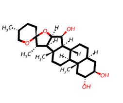 C[C@@H]1CC[C@@]2(OC1)O[C@H]1[C@@H](O)[C@H]3[C@@H]4CC[C@H]5C[C@@H](O)[C@H](O)C[C@]5(C)[C@H]4CC[C@]3(C)[C@H]1[C@@H]2C